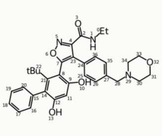 CCNC(=O)c1noc(-c2c(O)cc(O)c(-c3ccccc3)c2C(C)(C)C)c1-c1ccc(CN2CCOCC2)cc1